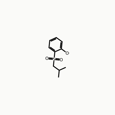 CC(C)CS(=O)(=O)c1ccccc1[O]